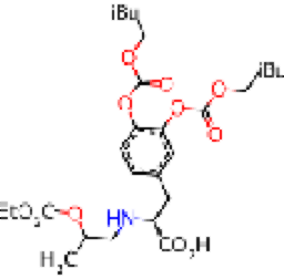 CCOC(=O)OC(C)CN[C@@H](Cc1ccc(OC(=O)OCC(C)CC)c(OC(=O)OCC(C)CC)c1)C(=O)O